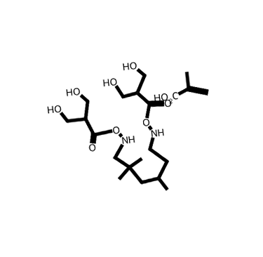 C=C(C)C(=O)O.CC(CCNOC(=O)C(CO)CO)CC(C)(C)CNOC(=O)C(CO)CO